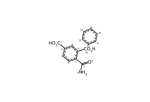 NC(=O)c1ccc(C(=O)O)cc1C(=O)O.c1ccccc1